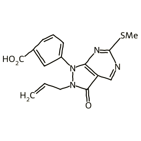 C=CCn1c(=O)c2cnc(SC)nc2n1-c1cccc(C(=O)O)c1